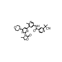 Cc1ncc(NC(=O)c2ccnc(C(C)(C)C#N)c2)cc1-c1cc(N2CCOCC2)nc(N2C(=O)OCC2C)n1